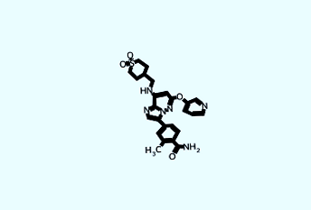 Cc1cc(-c2cnc3c(NCC4CCS(=O)(=O)CC4)cc(Oc4cccnc4)nn23)ccc1C(N)=O